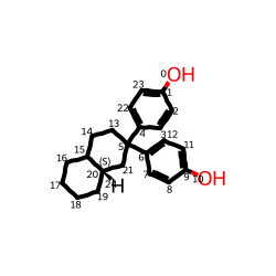 Oc1ccc(C2(c3ccc(O)cc3)CCC3CCCC[C@H]3C2)cc1